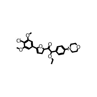 CCOC(C(=O)C1CC=C(c2cc(OC)c(Cl)c(OC)c2)O1)c1ccc(N2CCOCC2)cc1